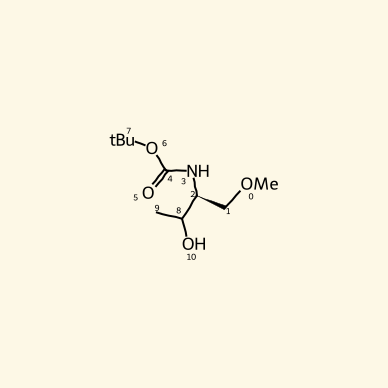 COC[C@H](NC(=O)OC(C)(C)C)C(C)O